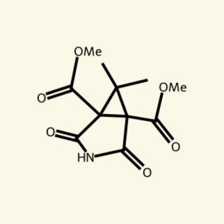 COC(=O)C12C(=O)NC(=O)C1(C(=O)OC)C2(C)C